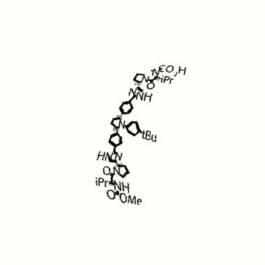 COC(=O)N[C@H](C(=O)N1CCC[C@H]1c1c[nH]c(-c2ccc([C@H]3CC[C@H](c4ccc(-c5nc([C@@H]6CCCN6C(=O)[C@H](C(C)C)N(C)C(=O)O)c[nH]5)cc4)N3c3ccc(C(C)(C)C)cc3)cc2)n1)C(C)C